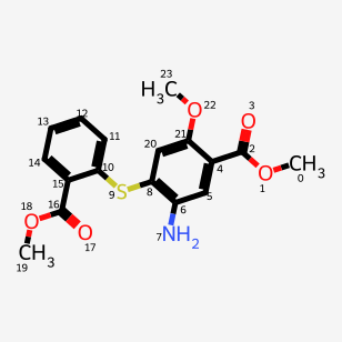 COC(=O)c1cc(N)c(Sc2ccccc2C(=O)OC)cc1OC